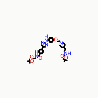 CC(C)(C)OC(=O)CNC(=O)c1ccc(-c2cnc(Nc3ccc(OCCN4CCC(CCNC(=O)OC(C)(C)C)CC4)cc3)nc2)cc1